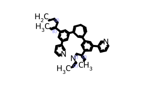 C=C/C=C\C(=C/C)c1cc(C2=CCC#CC(c3cc(C(/C=N\C=C/C)=C/C)cc(-c4cccnc4)c3)=C2)cc(-c2cccnc2)c1